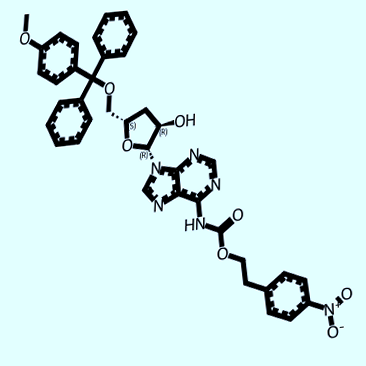 COc1ccc(C(OC[C@@H]2C[C@@H](O)[C@H](n3cnc4c(NC(=O)OCCc5ccc([N+](=O)[O-])cc5)ncnc43)O2)(c2ccccc2)c2ccccc2)cc1